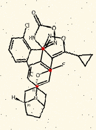 O=c1[nH]c(-c2ccc(N3C4CC[C@@H]3C[C@H](OCc3c(-c5c(Cl)cccc5Cl)noc3C3CC3)C4)cc2F)no1